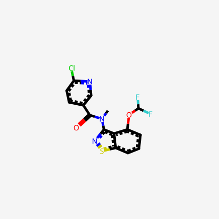 CN(C(=O)c1ccc(Cl)nc1)c1nsc2cccc(OC(F)F)c12